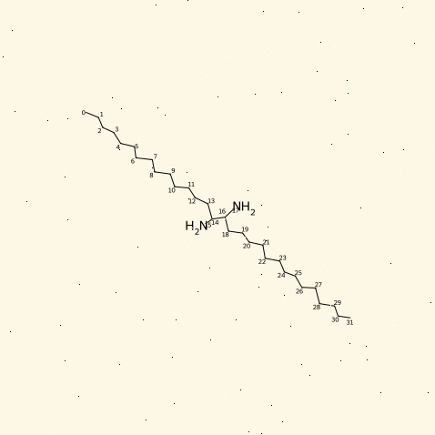 CCCCCCCCCCCCCCC(N)C(N)CCCCCCCCCCCCCC